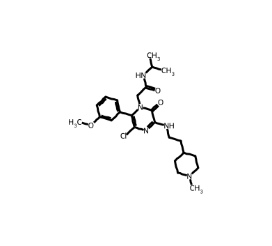 COc1cccc(-c2c(Cl)nc(NCCC3CCN(C)CC3)c(=O)n2CC(=O)NC(C)C)c1